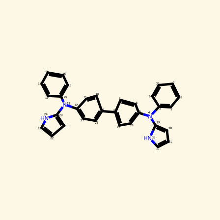 c1ccc(N(c2ccc(-c3ccc(N(c4ccccc4)c4ccc[nH]4)cc3)cc2)c2ccc[nH]2)cc1